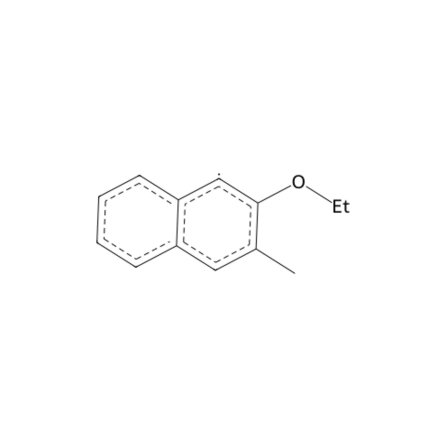 CCOc1[c]c2ccccc2cc1C